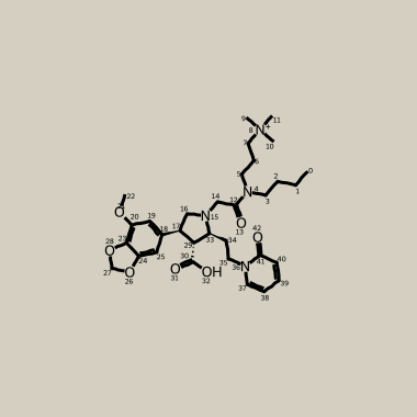 CCCCN(CCC[N+](C)(C)C)C(=O)CN1C[C@H](c2cc(OC)c3c(c2)OCO3)[C@@H](C(=O)O)[C@@H]1CCn1ccccc1=O